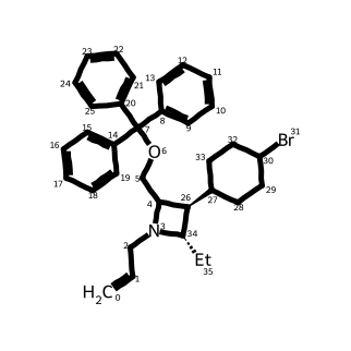 C=CCN1C(COC(c2ccccc2)(c2ccccc2)c2ccccc2)[C@@H](C2CCC(Br)CC2)[C@@H]1CC